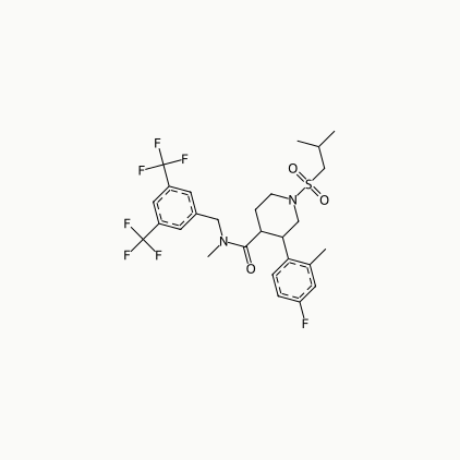 Cc1cc(F)ccc1C1CN(S(=O)(=O)CC(C)C)CCC1C(=O)N(C)Cc1cc(C(F)(F)F)cc(C(F)(F)F)c1